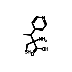 CC(c1ccncc1)C(N)(CS)C(=O)O